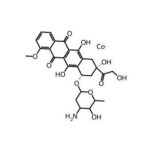 COc1cccc2c1C(=O)c1c(O)c3c(c(O)c1C2=O)C[C@@](O)(C(=O)CO)C[C@@H]3OC1CC(N)C(O)C(C)O1.[Co]